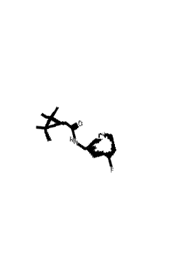 CC1(C)C(C(=O)Nc2cc(F)ccn2)C1(C)C